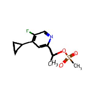 CC(OS(C)(=O)=O)c1cc(C2CC2)c(F)cn1